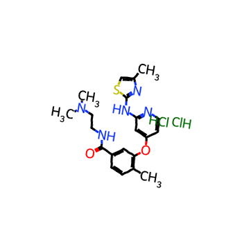 Cc1csc(Nc2cc(Oc3cc(C(=O)NCCN(C)C)ccc3C)ccn2)n1.Cl.Cl